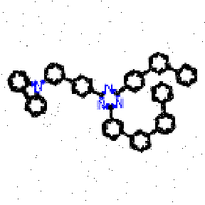 c1ccc(-c2cccc(-c3ccc(-c4nc(-c5ccc(-c6cccc(-n7c8ccccc8c8ccccc87)c6)cc5)nc(-c5cccc(-c6cccc(-c7cccc(-c8ccccc8)c7)c6)c5)n4)cc3)c2)cc1